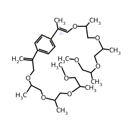 C=C(COC(C)COC(C)COC(C)COC)c1ccc(/C(C)=C/OC(C)COC(C)COC(C)COC)cc1